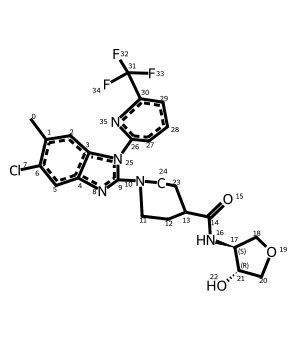 Cc1cc2c(cc1Cl)nc(N1CCC(C(=O)N[C@H]3COC[C@@H]3O)CC1)n2-c1cccc(C(F)(F)F)n1